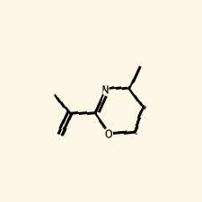 C=C(C)C1=NC(C)CCO1